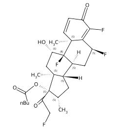 CCCCC(=O)O[C@@]1(C(=O)CF)[C@@H](C)C[C@H]2[C@@H]3C[C@H](F)C4=C(F)C(=O)C=C[C@]4(C)[C@@]3(F)[C@@H](O)C[C@@]21C